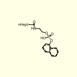 CCCCCCCC(=O)NCCOP(=O)(O)Oc1cccc2ccccc12